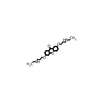 CCNCCCOc1ccc2c(=O)c3cc(OCCCNCC)ccc3sc2c1